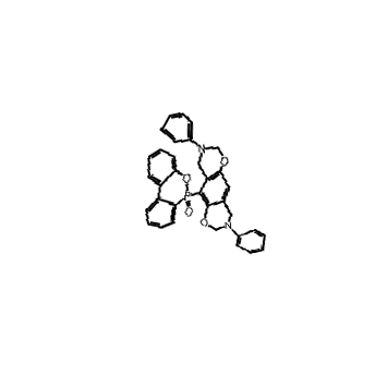 O=P1(c2c3c(cc4c2OCN(c2ccccc2)C4)OCN(c2ccccc2)C3)Oc2ccccc2-c2ccccc21